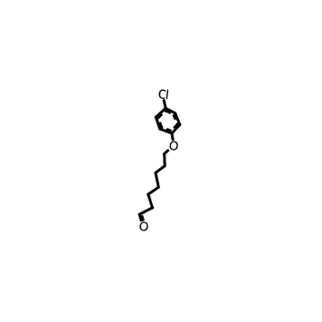 O=CCCCCCCOc1ccc(Cl)cc1